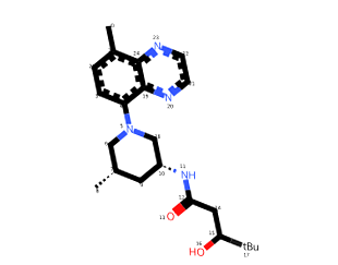 Cc1ccc(N2C[C@@H](C)C[C@@H](NC(=O)CC(O)C(C)(C)C)C2)c2nccnc12